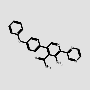 N=C(N)c1c(-c2ccc(Oc3ccccc3)cc2)cnc(-c2cnccn2)c1N